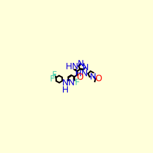 CC(=O)N1CCC(Nc2ncnc3[nH]cc(C(=O)c4ccc(NC5CCC(F)(F)CC5)nc4F)c23)C1